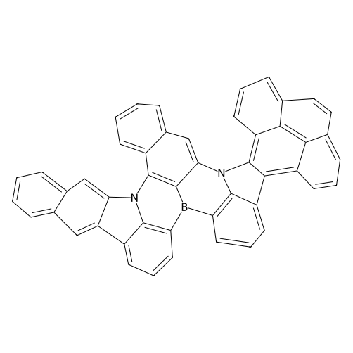 c1ccc2cc3c(cc2c1)c1cccc2c1n3-c1c3c(cc4ccccc14)-n1c4c(cccc4c4c5cccc6ccc7cccc(c7c65)c41)B32